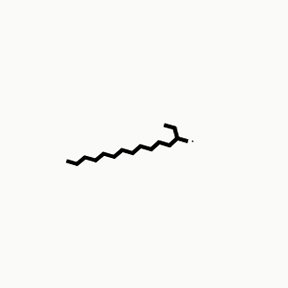 [CH2]C(CC)CCCCCCCCCCCC